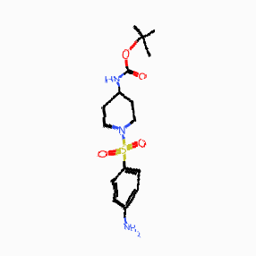 CC(C)(C)OC(=O)NC1CCN(S(=O)(=O)c2ccc(N)cc2)CC1